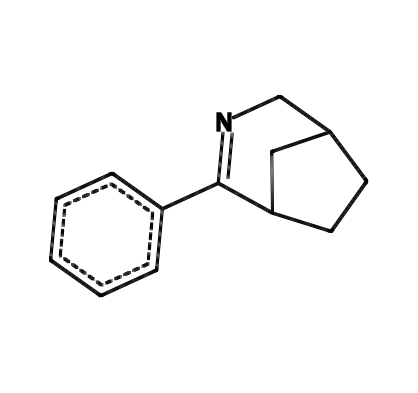 c1ccc(C2=NCC3CCC2C3)cc1